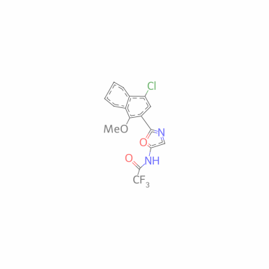 COc1c(-c2ncc(NC(=O)C(F)(F)F)o2)cc(Cl)c2ccccc12